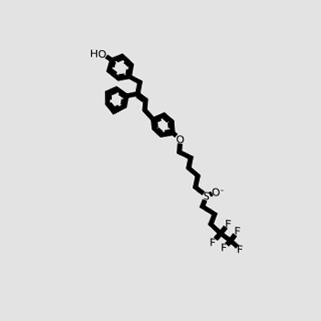 [O-][S+](CCCCCOc1ccc(C/C=C(/Cc2ccc(O)cc2)c2ccccc2)cc1)CCCC(F)(F)C(F)(F)F